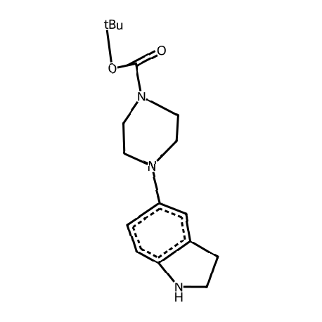 CC(C)(C)OC(=O)N1CCN(c2ccc3c(c2)CCN3)CC1